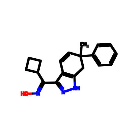 CC1(c2ccccc2)C=Cc2c(/C(=N/O)C3CCC3)n[nH]c2C1